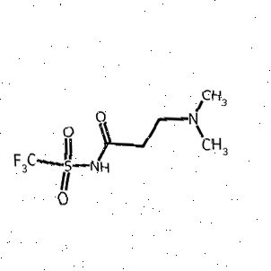 CN(C)CCC(=O)NS(=O)(=O)C(F)(F)F